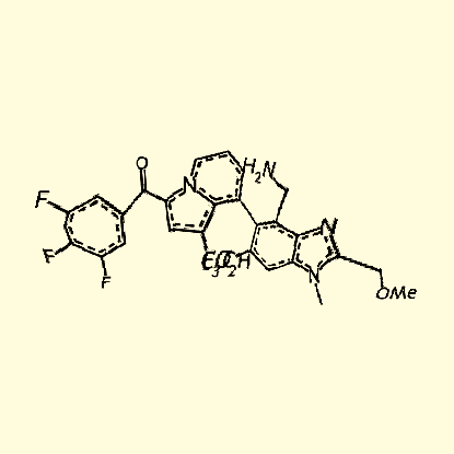 COCc1nc2c(CN)c(-c3cccn4c(C(=O)c5cc(F)c(F)c(F)c5)cc(C(=O)O)c34)c(C(F)(F)F)cc2n1C